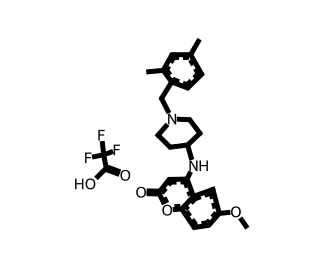 COc1ccc2oc(=O)cc(NC3CCN(Cc4ccc(C)cc4C)CC3)c2c1.O=C(O)C(F)(F)F